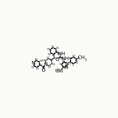 Cc1ccc(-n2nc(C(C)(C)C)cc2NC(=O)Nc2ccccc2CC2CCN(C(=O)c3ccncc3)CC2)cc1